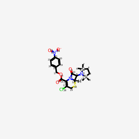 C[Si]1(C)CC[Si](C)(C)N1C1C(=O)N2C(C(=O)OCc3ccc([N+](=O)[O-])cc3)=C(Cl)CS[C@@H]12